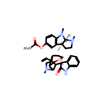 C=CC12CN(C)C3C4COC(CC41)[C@]1(C(=O)Nc4ccccc41)C32.CNC(=O)Oc1ccc2c(c1)[C@]1(C)CCN(C)[C@@H]1N2C